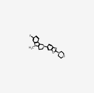 Cn1c2c(c3ccc(F)cc31)CN(c1ccc3nc(N4CCOCC4)oc3c1)CC2